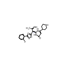 CC(=N)/C(=C1/NC(=O)C=C(C2CCNCC2)N1)c1nnc(-c2ccccc2F)o1